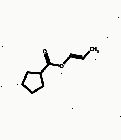 CC=COC(=O)C1CCCC1